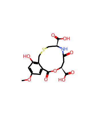 COc1cc(O)c2c(c1)C(=O)O[C@H](C(=O)O)CC(=O)N[C@H](C(=O)O)CSC2